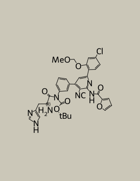 COCOc1cc(Cl)ccc1-c1cc(-c2cccc(N(C(=O)OC(C)(C)C)C(=O)[C@H](N)Cc3c[nH]cn3)c2)c(C#N)c(NC(=O)c2ccco2)n1